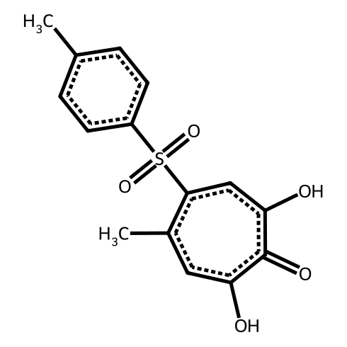 Cc1ccc(S(=O)(=O)c2cc(O)c(=O)c(O)cc2C)cc1